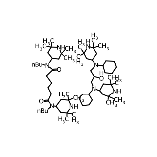 CC1(C)CC(N(CC(O)CN(C2CCCCC2)C2CC(C)(C)NC(C)(C)C2)C2CCCCC2)CC(C)(C)N1.CCCCN(C(=O)CCCCC(=O)N(CCCC)C1CC(C)(C)NC(C)(C)C1)C1CC(C)(C)NC(C)(C)C1